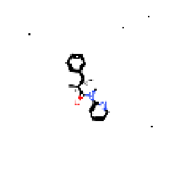 C[C@H](C(=O)N(C)c1ccccn1)[C@H](C)c1ccccc1